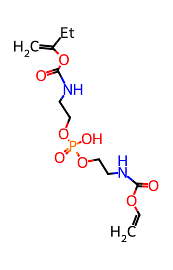 C=COC(=O)NCCOP(=O)(O)OCCNC(=O)OC(=C)CC